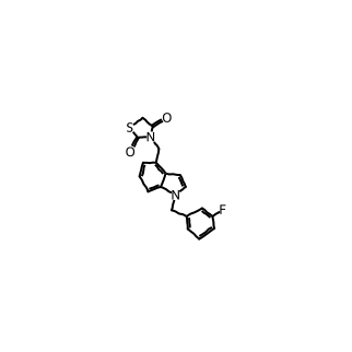 O=C1CSC(=O)N1Cc1cccc2c1ccn2Cc1cccc(F)c1